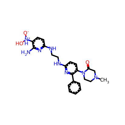 CN1CCN(c2ccc(NCCNc3ccc([NH+]([O-])O)c(N)n3)nc2-c2ccccc2)C(=O)C1